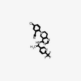 CC(Nc1ncnc2c1CN(c1ccc(Cl)cc1C#N)CC2)c1ccc(C(F)(F)F)nc1